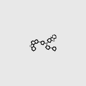 CC12CC=CC=C1Oc1cc(N(c3ccc(-c4ccc5ccc6oc7ccccc7c6c5c4)cc3)c3cccc(-c4ccccc4)c3)ccc12